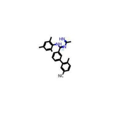 CC(=N)/N=C(\Nc1c(C)cc(C)cc1C)c1cccc(-c2cc(C#N)ccc2C)c1